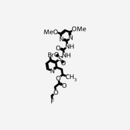 COc1cc(OC)nc(NC(=O)NS(=O)(=O)c2c(Br)ccnc2CC(C)OC(=O)COCF)n1